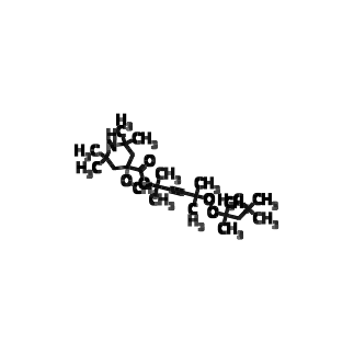 COC1(C(=O)OC(C)(C)C#CC(C)(C)OOC(C)(C)CC(C)(C)C)CC(C)(C)NC(C)(C)C1